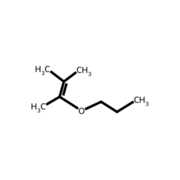 CCCOC(C)=C(C)C